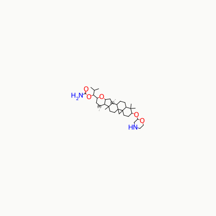 CC(C)C(OC(N)=O)C1C[C@@H](C)C2C(C[C@@]3(C)C4CCC5C(C)(C)C(OC6CNCCO6)CCC56CC46CCC23C)O1